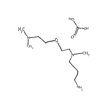 CN(C)CCOCCN(C)CCCN.O=C(O)O